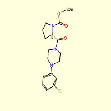 CCCCOC(=O)N1CCC[C@H]1C(=O)N1CCN(c2cccc(Cl)c2)CC1